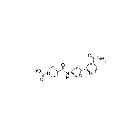 NC(=O)c1ccnc(-c2ccc(NC(=O)C3CCN(C(=O)O)CC3)cn2)c1